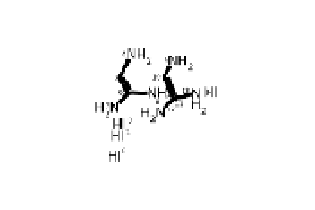 I.I.I.I.NC=C(N)N.NC=C(N)N